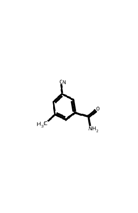 Cc1cc(C#N)cc(C(N)=O)c1